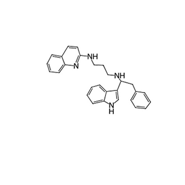 c1ccc(CC(NCCCNc2ccc3ccccc3n2)c2c[nH]c3ccccc23)cc1